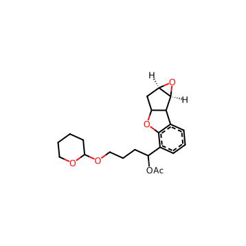 CC(=O)OC(CCCOC1CCCCO1)c1cccc2c1OC1C[C@H]3O[C@H]3C21